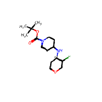 CC(C)(C)OC(=O)N1CCC(N[C@@H]2CCOCC2F)CC1